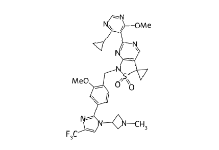 COc1cc(-c2nc(C(F)(F)F)cn2C2CN(C)C2)ccc1CN1c2nc(-c3c(OC)ncnc3C3CC3)ncc2C2(CC2)S1(=O)=O